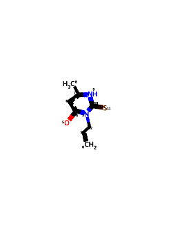 C=CCn1c(=O)cc(C)[nH]c1=S